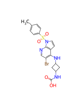 Cc1ccc(S(=O)(=O)n2ccc3c(NC4CC(NC(=O)O)C4)c(Br)cnc32)cc1